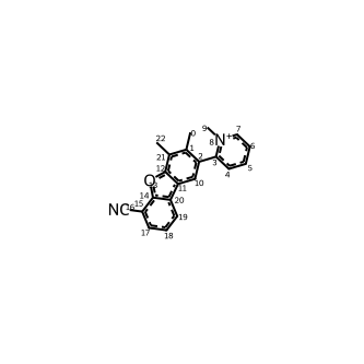 Cc1c(-c2cccc[n+]2C)cc2c(oc3c(C#N)cccc32)c1C